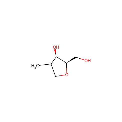 CC1CO[C@H](CO)[C@@H]1O